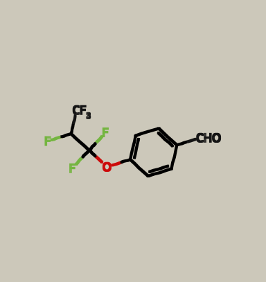 O=Cc1ccc(OC(F)(F)C(F)C(F)(F)F)cc1